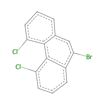 Clc1cccc2cc(Br)c3cccc(Cl)c3c12